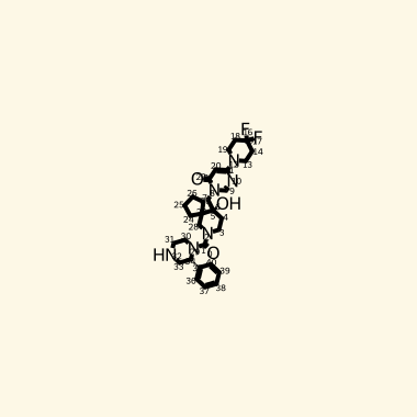 O=C(N1CC[C@@](O)(Cn2cnc(N3CCC(F)(F)CC3)cc2=O)C2(CCCC2)C1)N1CCNC[C@H]1c1ccccc1